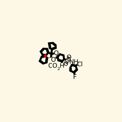 O=C(O)C1=CC2(CCC1S(=O)(=O)Nc1ccc(F)cc1Cl)O[C@H](c1ccccc1)C(c1ccccc1)(c1ccccc1)O2